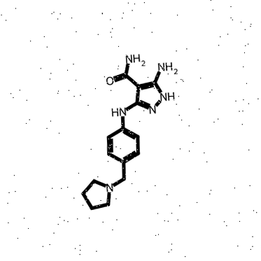 NC(=O)c1c(Nc2ccc(CN3CCCC3)cc2)n[nH]c1N